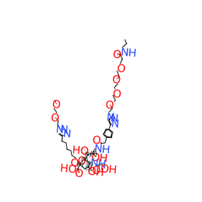 CCCNC(=O)CCOCCOCCOCCOCCn1cc(-c2ccc(CC(=O)NC[C@@H](O)[C@@H](O)[C@@H]3O[C@@](OCCCCCCc4cn(CCOCCOC)nn4)(C(=O)O)C[C@H](O)[C@H]3NC(=O)CO)cc2)nn1